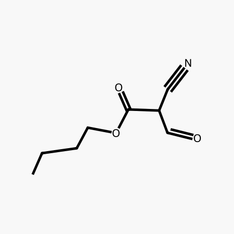 CCCCOC(=O)C(C#N)C=O